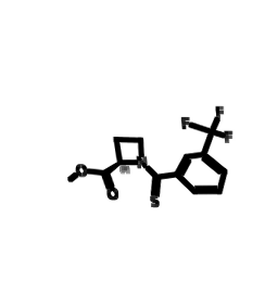 COC(=O)[C@H]1CCN1C(=S)c1cccc(C(F)(F)F)c1